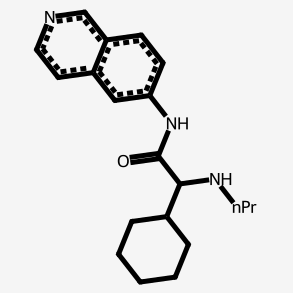 CCCNC(C(=O)Nc1ccc2cnccc2c1)C1CCCCC1